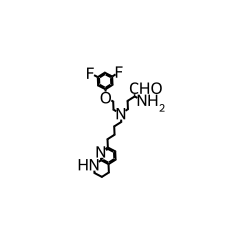 N[C@H](C=O)CCN(CCCCc1ccc2c(n1)NCCC2)CCOc1cc(F)cc(F)c1